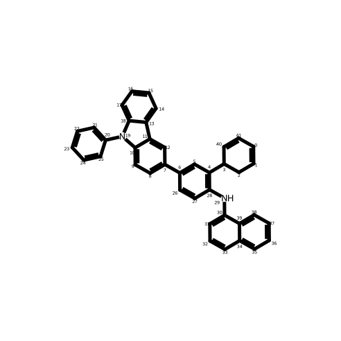 C1=CCC(c2cc(-c3ccc4c(c3)c3ccccc3n4-c3ccccc3)ccc2Nc2cccc3ccccc23)C=C1